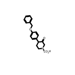 O=C1CN(C(=O)O)CCC1c1ccc(OCc2ccccc2)cc1